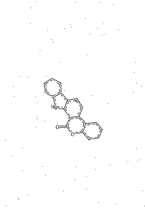 O=c1oc2ccccc2c2ccc3c4ccccc4[nH]c3c12